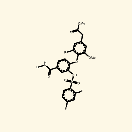 CCNC(=O)c1ccc(Oc2c(Br)cc(CC(=O)OC)cc2OC)c(NS(=O)(=O)c2ccc(F)cc2F)c1